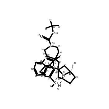 CSc1cccc(C2(CCN3[C@@H]4CC[C@H]3C[C@@H](n3c(C)nc5ccccc53)C4)CCN(C(=O)OC(C)(C)C)CC2)c1